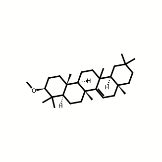 CO[C@H]1CC[C@]2(C)[C@H]3CCC4(C)C(=CC[C@@]5(C)CCC(C)(C)C[C@H]45)[C@]3(C)CC[C@H]2C1(C)C